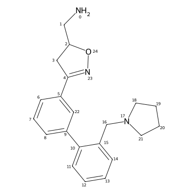 NCC1CC(c2cccc(-c3ccccc3CN3CCCC3)c2)=NO1